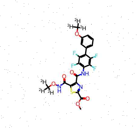 [2H]C([2H])([2H])ONC(=O)c1sc(C(=O)OC)nc1C(=O)Nc1c(F)c(F)c(-c2cccc(OC([2H])([2H])[2H])c2)c(F)c1F